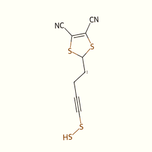 N#CC1=C(C#N)SC([C]CC#CSS)S1